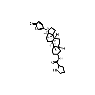 C[C@]12CCC(NC(=O)C3CCCN3)C[C@H]1CC[C@@H]1[C@@H]2CC[C@]2(C)[C@@H](c3ccc(=O)oc3)CC[C@]12O